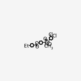 CCc1ccc(C(=O)Oc2ccc(C3C(=O)N(c4ccc(Cl)c(Cl)c4)C(=O)N3C)cc2)cc1